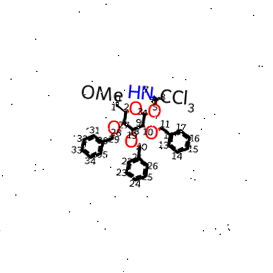 COC[C@H]1OC(OC(=N)C(Cl)(Cl)Cl)[C@H](OCc2ccccc2)[C@@H](OCc2ccccc2)[C@H]1OCc1ccccc1